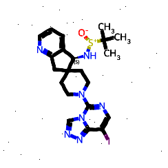 CC(C)(C)[S+]([O-])N[C@@H]1c2cccnc2CC12CCN(c1ncc(I)c3nncn13)CC2